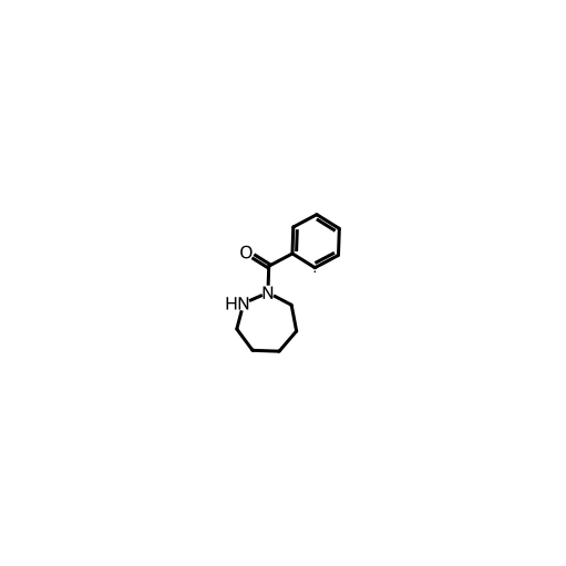 O=C(c1[c]cccc1)N1CCCCCN1